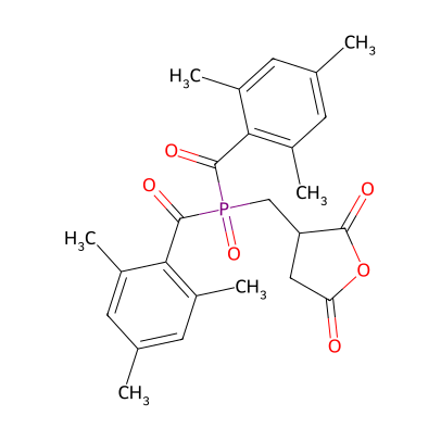 Cc1cc(C)c(C(=O)P(=O)(CC2CC(=O)OC2=O)C(=O)c2c(C)cc(C)cc2C)c(C)c1